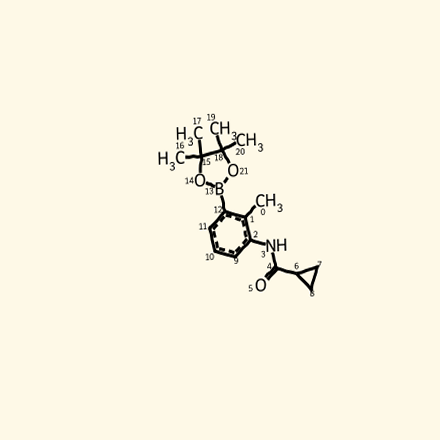 Cc1c(NC(=O)C2CC2)cccc1B1OC(C)(C)C(C)(C)O1